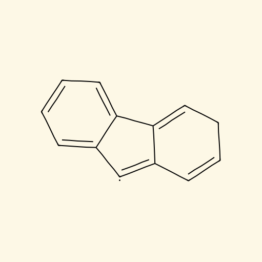 [C]1=C2C=CCC=C2c2ccccc21